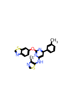 CCc1ncsc1Nc1cc(-c2cccc(C)c2)nc(Oc2ccc3ncsc3c2)n1